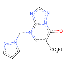 CCOC(=O)c1cn(Cn2cccn2)c2ncnn2c1=O